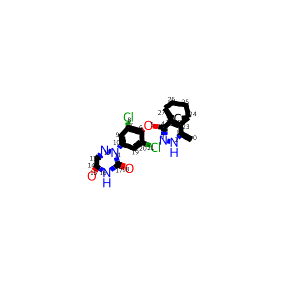 C=C1NN=C(Oc2c(Cl)cc(-n3ncc(=O)[nH]c3=O)cc2Cl)C2=C1C1CCC2CC1